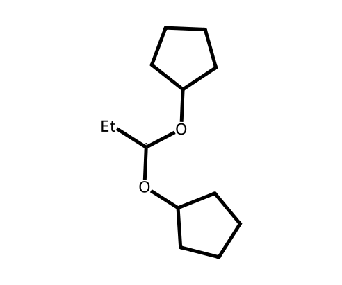 CC[C](OC1CCCC1)OC1CCCC1